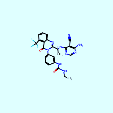 CCNC(=O)Nc1cccc(-n2c(C(C)Nc3ncnc(N)c3C#N)nc3cccc(C(F)(F)F)c3c2=O)c1